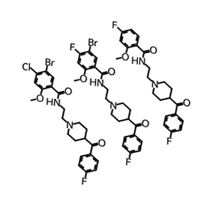 COc1cc(Cl)c(Br)cc1C(=O)NCCN1CCC(C(=O)c2ccc(F)cc2)CC1.COc1cc(F)c(Br)cc1C(=O)NCCN1CCC(C(=O)c2ccc(F)cc2)CC1.COc1cc(F)ccc1C(=O)NCCN1CCC(C(=O)c2ccc(F)cc2)CC1